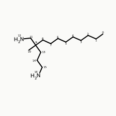 CCCCCCCCCC(C)(CN)CCCN